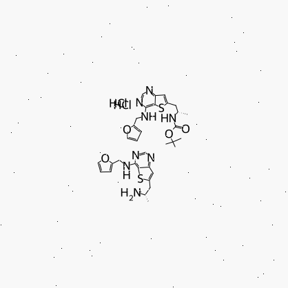 C[C@@H](Cc1cc2ncnc(NCc3ccco3)c2s1)NC(=O)OC(C)(C)C.C[C@H](N)Cc1cc2ncnc(NCc3ccco3)c2s1.Cl.Cl